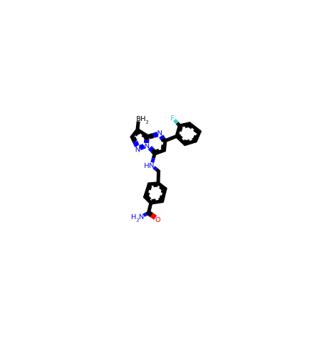 Bc1cnn2c(NCc3ccc(C(N)=O)cc3)cc(-c3ccccc3F)nc12